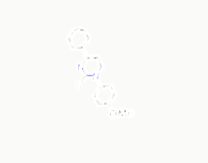 COc1ccc(-n2ccc(-c3ccccc3)nc2=S)cc1